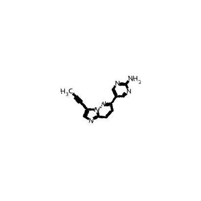 CC#Cc1cnc2ccc(-c3cnc(N)nc3)nn12